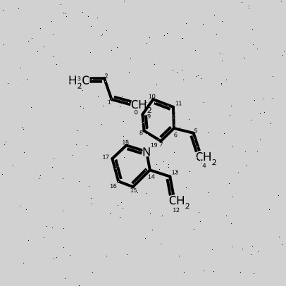 C=CC=C.C=Cc1ccccc1.C=Cc1ccccn1